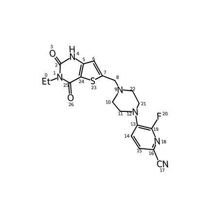 CCn1c(=O)[nH]c2cc(CN3CCN(c4ccc(C#N)nc4F)CC3)sc2c1=O